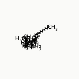 CCCCCCCCCCc1ccc(-c2noc(C3CN(C(=NC(=O)O)NC(=O)OC(C)(C)C)C3C(C)(C)C)n2)cc1